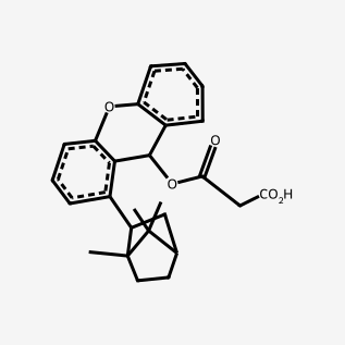 CC1(C)C2CCC1(C)C(c1cccc3c1C(OC(=O)CC(=O)O)c1ccccc1O3)C2